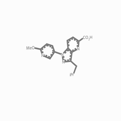 COc1ccc(-n2nc(CC(C)C)c3nc(C(=O)O)ccc32)cn1